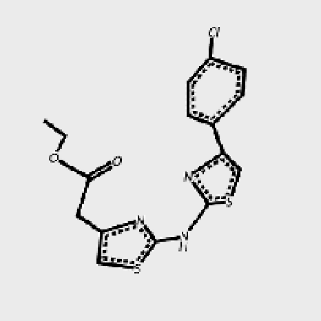 CCOC(=O)Cc1csc(Nc2nc(-c3ccc(Cl)cc3)cs2)n1